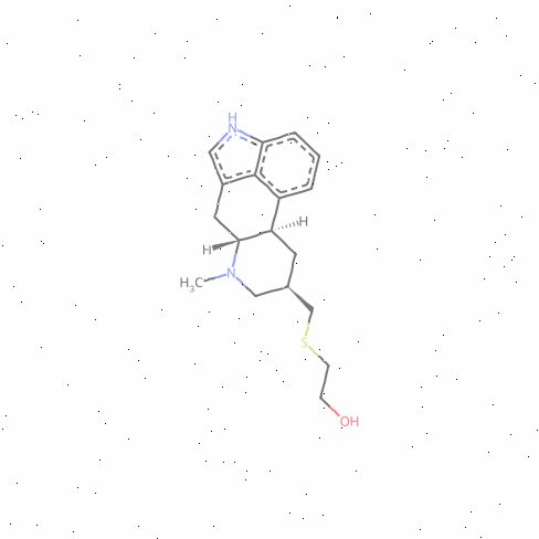 CN1C[C@H](CSCCO)C[C@@H]2c3cccc4[nH]cc(c34)C[C@H]21